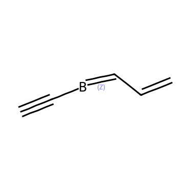 C#C/B=C\C=C